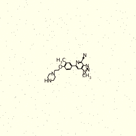 Cc1cc(-c2cc3c(nnn3C)c(C#N)n2)ccc1OCCN1CCNCC1